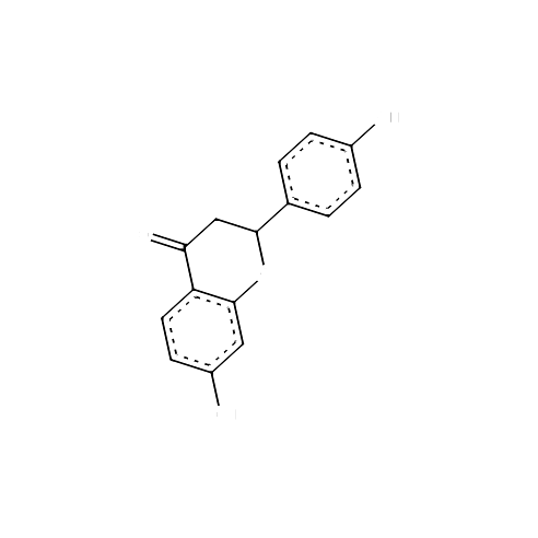 Cc1ccc2c(c1)OC(c1ccc(O)cc1)CC2=O